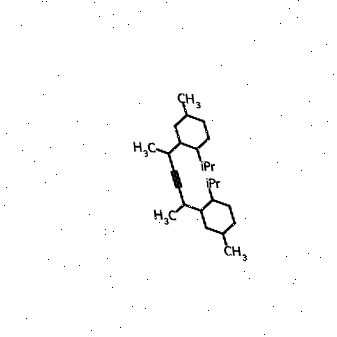 CC1CCC(C(C)C)C(C(C)C#CC(C)C2CC(C)CCC2C(C)C)C1